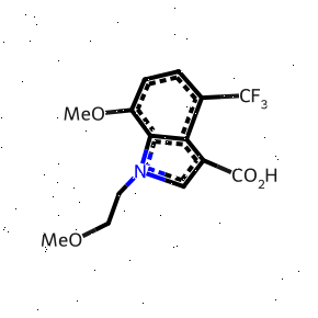 COCCn1cc(C(=O)O)c2c(C(F)(F)F)ccc(OC)c21